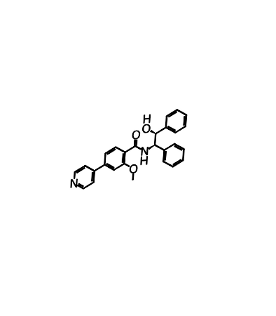 COc1cc(-c2ccncc2)ccc1C(=O)N[C@H](c1ccccc1)[C@@H](O)c1ccccc1